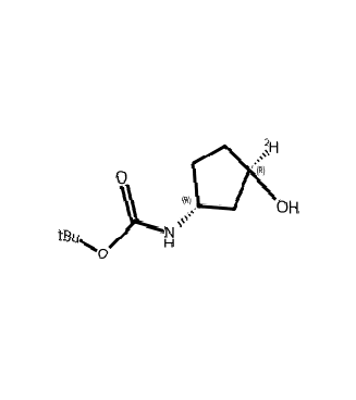 [2H][C@@]1(O)CC[C@@H](NC(=O)OC(C)(C)C)C1